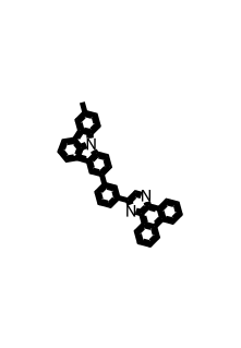 Cc1ccc2c(c1)c1cccc3c4cc(-c5cccc(-c6cnc7c8ccccc8c8ccccc8c7n6)c5)ccc4n2c13